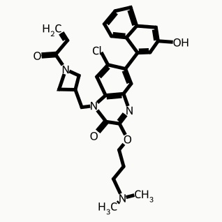 C=CC(=O)N1CC(Cn2c(=O)c(OCCCN(C)C)nc3cc(-c4cc(O)cc5ccccc45)c(Cl)cc32)C1